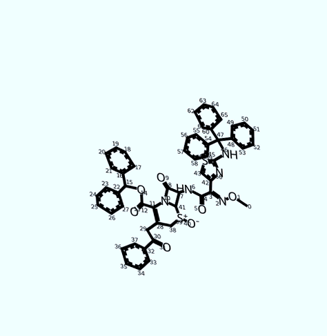 CO/N=C(/C(=O)NC1C(=O)N2C(C(=O)OC(c3ccccc3)c3ccccc3)=C(CC(=O)c3ccccc3)C[S+]([O-])C12)c1csc(NC(c2ccccc2)(c2ccccc2)c2ccccc2)n1